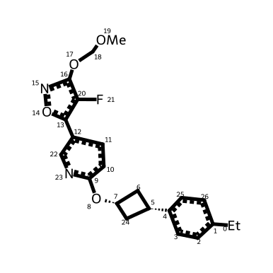 CCc1ccc([C@H]2C[C@@H](Oc3ccc(-c4onc(OCOC)c4F)cn3)C2)cc1